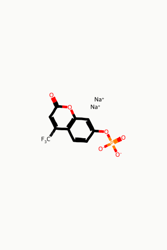 O=c1cc(C(F)(F)F)c2ccc(OP(=O)([O-])[O-])cc2o1.[Na+].[Na+]